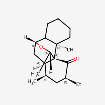 CC[C@H]1C[C@@H](C)[C@H]2C[C@H]3O[C@@H](C)[C@]2(C1=O)[C@]1(C)CCCCC31